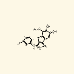 CC(=O)Nc1c(O)c(O)cc2c1Cc1c-2n[nH]c1Nc1cccc(F)c1